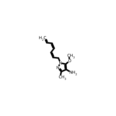 C=C/C=C\C=C/Cn1nc(C)c(N)c1OC